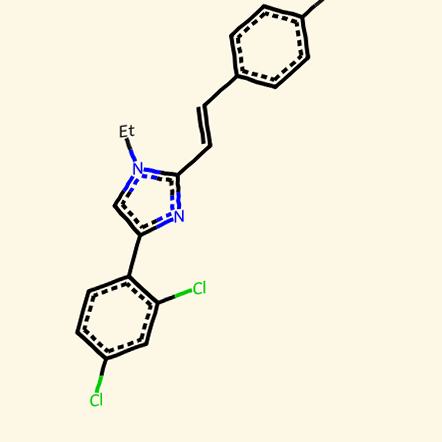 CCn1cc(-c2ccc(Cl)cc2Cl)nc1/C=C/c1ccc(OC)cc1